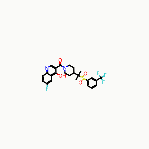 CC(C)(C1CCN(C(=O)c2cnc3ccc(F)cc3c2O)CC1)S(=O)(=O)c1cccc(C(F)(F)F)c1